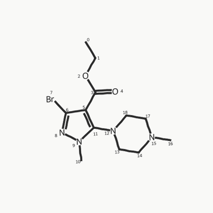 CCOC(=O)c1c(Br)nn(C)c1N1CCN(C)CC1